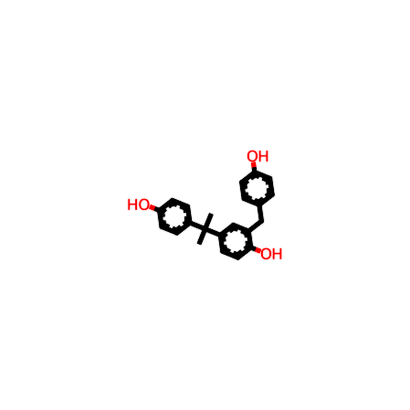 CC(C)(c1ccc(O)cc1)c1ccc(O)c(Cc2ccc(O)cc2)c1